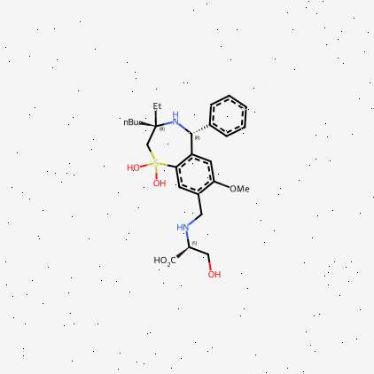 CCCC[C@]1(CC)CS(O)(O)c2cc(CN[C@@H](CO)C(=O)O)c(OC)cc2[C@@H](c2ccccc2)N1